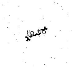 CC(C)C(=O)CN(C)C[C@H](C)CCC(=O)CNC(C)C(C)C